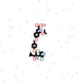 CC(C)Oc1nc(C(=O)O)cc2ccc(OCC34CCC(OCc5c(-c6c(Cl)cncc6Cl)noc5C5CC5)(CC3)CC4)cc12